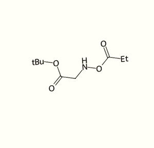 CCC(=O)ONCC(=O)OC(C)(C)C